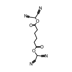 N#CC(C#N)OC(=O)CCCCC(=O)OC(C#N)C#N